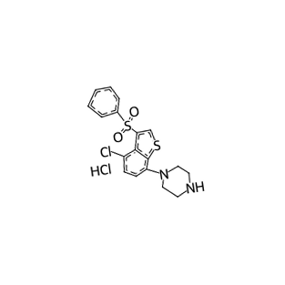 Cl.O=S(=O)(c1ccccc1)c1csc2c(N3CCNCC3)ccc(Cl)c12